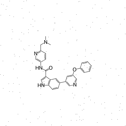 CN(C)Cc1ccc(NC(=O)c2c[nH]c3ccc(-c4cncc(Oc5ccccc5)c4)cc23)cn1